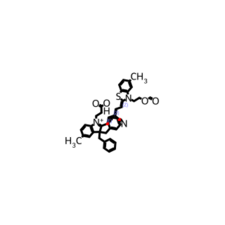 Cc1ccc2c(c1)N(CCOC=O)/C(=C/C=C(C#N)/C=C/C1=[N+](CCC(=O)O)c3ccc(C)cc3C1(Cc1ccccc1)Cc1ccccc1)S2